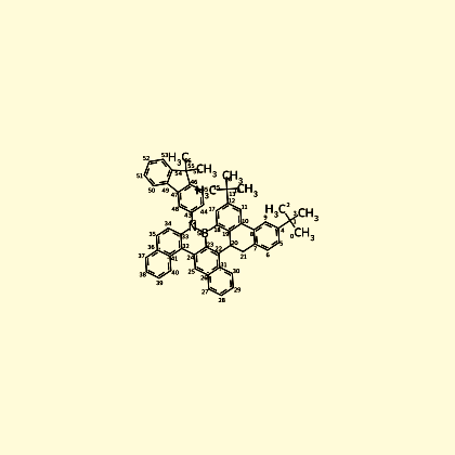 CC(C)(C)c1ccc2c(c1)-c1cc(C(C)(C)C)cc3c1C(C2)c1c2c(cc4ccccc14)-c1c(ccc4ccccc14)N(c1ccc4c(c1)-c1ccccc1C4(C)C)B32